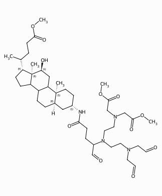 COC(=O)CCC(C)[C@H]1CCC2C3CC[C@@H]4C[C@@H](NC(=O)CCC(C=O)N(CCN(CC=O)CC=O)CCN(CC(=O)OC)CC(=O)OC)CC[C@]4(C)C3C[C@H](O)[C@@]21C